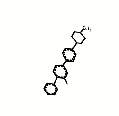 BC1CCC(c2ccc(-c3ccc(-c4ccccc4)c(C)c3)cc2)CC1